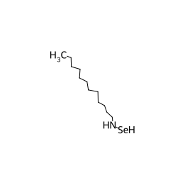 CCCCCCCCCCCCN[SeH]